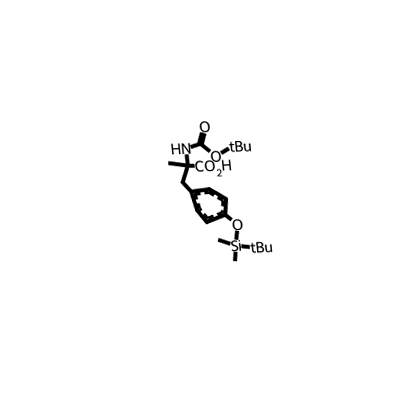 CC(C)(C)OC(=O)NC(C)(Cc1ccc(O[Si](C)(C)C(C)(C)C)cc1)C(=O)O